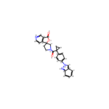 O=C1OC2(CCN(C(=O)C3(c4ccc(-n5cc6ccccc6n5)cc4)CC3)C2)c2ccncc21